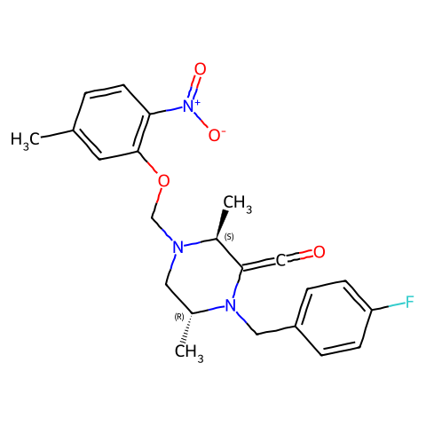 Cc1ccc([N+](=O)[O-])c(OCN2C[C@@H](C)N(Cc3ccc(F)cc3)C(=C=O)[C@@H]2C)c1